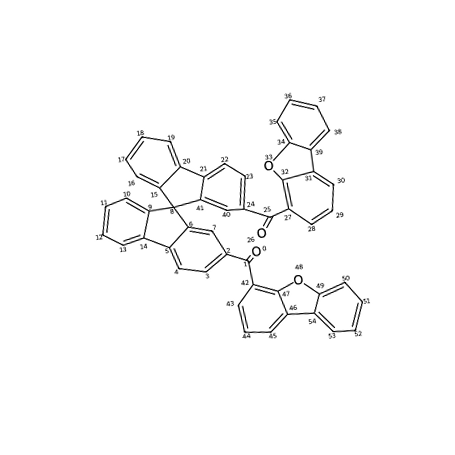 O=C(c1ccc2c(c1)C1(c3ccccc3-2)c2ccccc2-c2ccc(C(=O)c3cccc4c3oc3ccccc34)cc21)c1cccc2c1oc1ccccc12